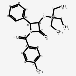 CC[Si](CC)(CC)OC1C(=O)N(C(=O)c2ccc(C)cc2)C1c1ccccc1